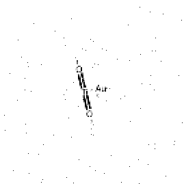 [Au].[O]=[Ti]=[O]